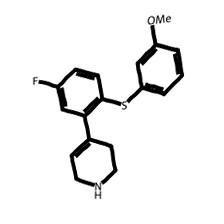 COc1cccc(Sc2ccc(F)cc2C2=CCNCC2)c1